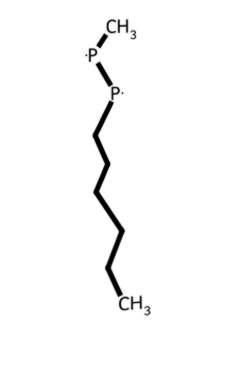 CCCCCC[P][P]C